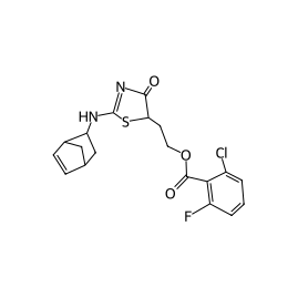 O=C(OCCC1SC(NC2CC3C=CC2C3)=NC1=O)c1c(F)cccc1Cl